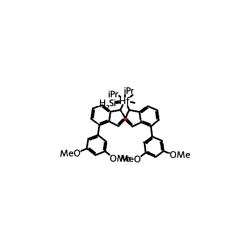 COc1cc(OC)cc(-c2cccc3c2C=C[CH]3[Hf]([CH3])([CH3])(=[SiH2])([CH](C)C)([CH](C)C)[CH]2C=Cc3c(-c4cc(OC)cc(OC)c4)cccc32)c1